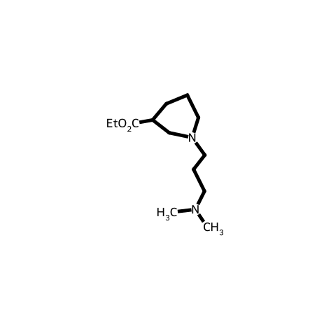 CCOC(=O)C1CCCN(CCCN(C)C)C1